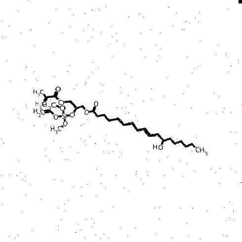 C=CO[Si](OC)(OC)OC(COC(=O)CCCCCCC/C=C/CC(O)CCCCCC)COC(=O)C(=C)C